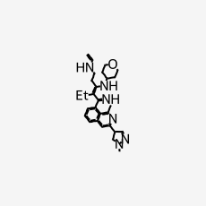 C=CNCC/C(NC1CCOCC1)=C(\CC)C(=N)c1cccc2cc(C3C=NN(C)C3)nc(C)c12